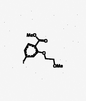 COCCOc1cc(I)ccc1C(=O)OC